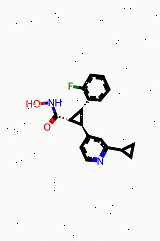 O=C(NO)[C@H]1[C@H](c2ccnc(C3CC3)c2)[C@H]1c1ccccc1F